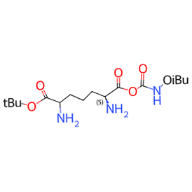 CC(C)CONC(=O)OC(=O)[C@@H](N)CCCC(N)C(=O)OC(C)(C)C